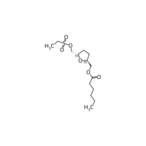 CCCCCC(=O)OC[C@@H]1CC[C@@H](COS(=O)(=O)CC)O1